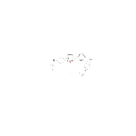 C/N=C(\C=C/N(C=O)c1ccc(CC(C)N2CC3C(CN)C3C2)cc1)N1CCN(C(=O)C(C)(C)CN)CC1